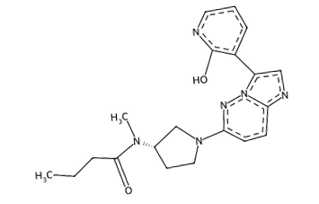 CCCC(=O)N(C)[C@H]1CCN(c2ccc3ncc(-c4cccnc4O)n3n2)C1